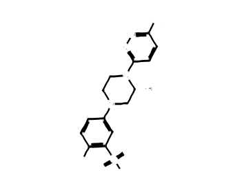 CC(C)[C@@H]1CN(c2ccc(F)c(S(C)(=O)=O)c2)CCN1c1ccc(C(F)(F)F)nn1